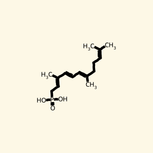 CC(C)=CCCC(C)=CC=CC(C)=CCP(=O)(O)O